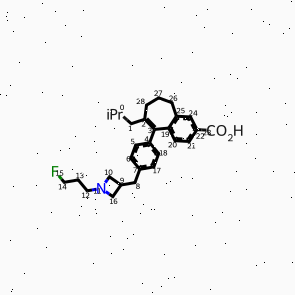 CC(C)CC1=C(c2ccc(CC3CN(CCCF)C3)cc2)c2ccc(C(=O)O)cc2CCC1